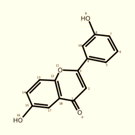 O=c1cc(-c2cccc(O)c2)oc2ccc(O)cc12